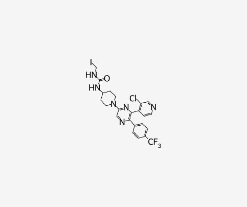 O=C(NCI)NC1CCN(c2cnc(-c3ccc(C(F)(F)F)cc3)c(-c3ccncc3Cl)n2)CC1